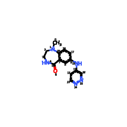 CN1CCNC(=O)c2cc(Nc3ccnnc3)ccc21